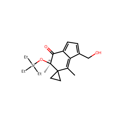 CC[Si](CC)(CC)O[C@@]1(C)C(=O)C2=CC=C(CO)C2=C(C)C12CC2